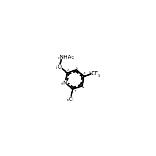 CC(=O)NOc1cc(C(F)(F)F)cc(Cl)n1